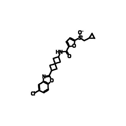 O=C(NC1CC2(C1)CC(c1nc3cc(Cl)ccc3o1)C2)c1ccc([S@+]([O-])CC2CC2)o1